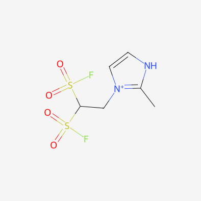 Cc1[nH]cc[n+]1CC(S(=O)(=O)F)S(=O)(=O)F